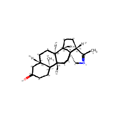 CC1=NC[C@]23CC[C@H]4[C@@H](CC[C@H]5CC(=O)CC[C@@]54C)[C@@H]2CC[C@H]13